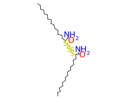 CCCCCCCCCCCCCCCC(SSSSSC(CCCCCCCCCCCCCCC)C(N)=O)C(N)=O